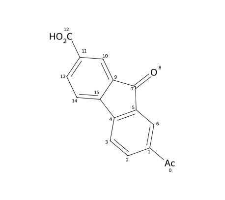 CC(=O)c1ccc2c(c1)C(=O)c1cc(C(=O)O)ccc1-2